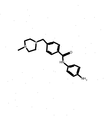 CN1CCN(Cc2ccc(C(=O)Nc3ccc(N)cc3)cc2)CC1